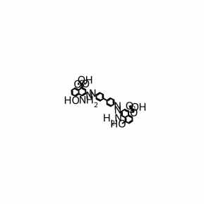 Nc1c(N=Nc2ccc(-c3ccc(N=Nc4cc(S(=O)(=O)O)c5cccc(O)c5c4N)cc3)cc2)cc(S(=O)(=O)O)c2cccc(O)c12